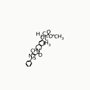 CCOC(=O)C(C)(C)Oc1ccc2c(c1)CCN(C(=O)c1sc(-c3ccccc3)nc1C)C2